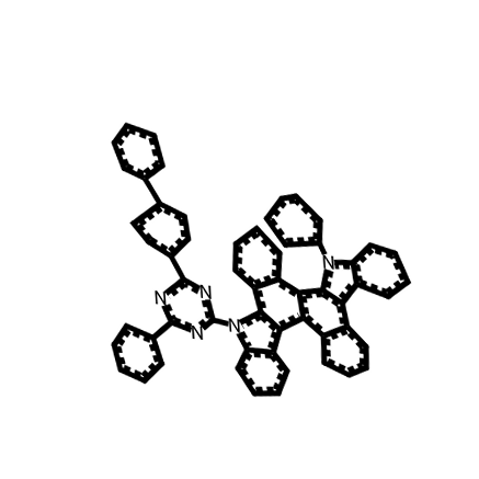 c1ccc(-c2ccc(-c3nc(-c4ccccc4)nc(-n4c5ccccc5c5c6c7ccccc7c7c8ccccc8n(-c8ccccc8)c7c6c6ccccc6c54)n3)cc2)cc1